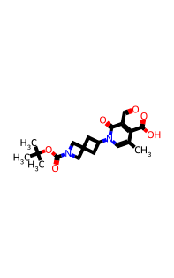 Cc1cn(C2CC3(C2)CN(C(=O)OC(C)(C)C)C3)c(=O)c(C=O)c1C(=O)O